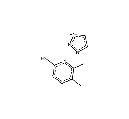 Cc1cnc(S)nc1C.c1c[nH]nn1